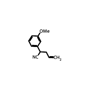 C=CCC(C#N)c1cccc(OC)c1